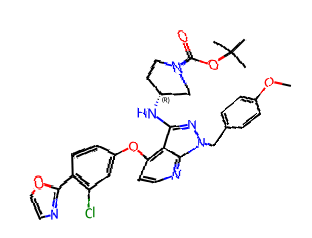 COc1ccc(Cn2nc(N[C@@H]3CCN(C(=O)OC(C)(C)C)C3)c3c(Oc4ccc(-c5ncco5)c(Cl)c4)ccnc32)cc1